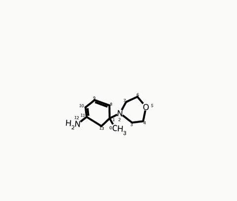 CC1(N2CCOCC2)C=CC=C(N)C1